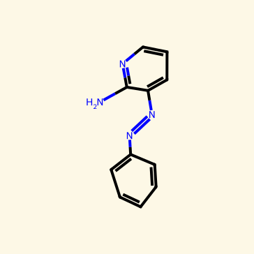 Nc1ncccc1/N=N/c1ccccc1